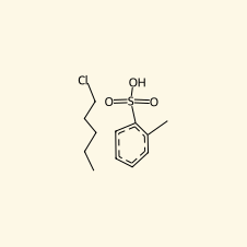 CCCCCCl.Cc1ccccc1S(=O)(=O)O